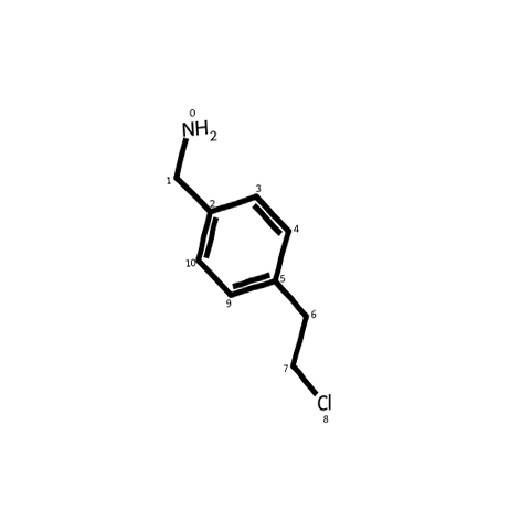 NCc1ccc(CCCl)cc1